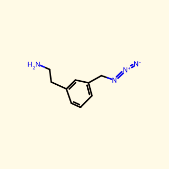 [N-]=[N+]=NCc1cccc(CCN)c1